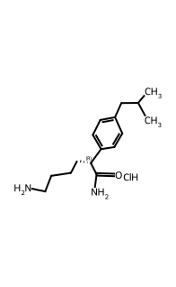 CC(C)Cc1ccc([C@@H](CCCCN)C(N)=O)cc1.Cl